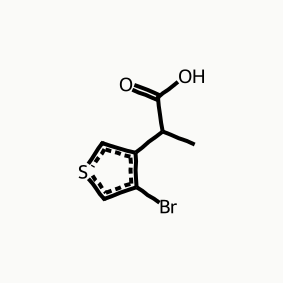 CC(C(=O)O)c1cscc1Br